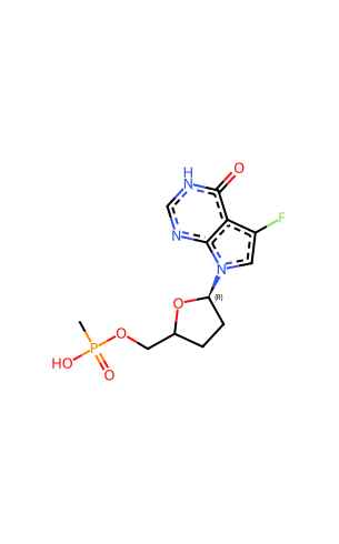 CP(=O)(O)OCC1CC[C@H](n2cc(F)c3c(=O)[nH]cnc32)O1